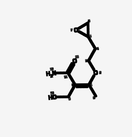 CC(OCCC1CO1)=C(CO)C(N)=O